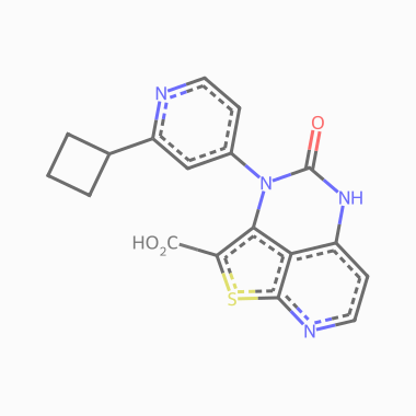 O=C(O)c1sc2nccc3c2c1N(c1ccnc(C2CCC2)c1)C(=O)N3